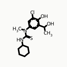 CC(O)c1cc(N(C)C(=S)NC2CCCCC2)cc(Cl)c1O